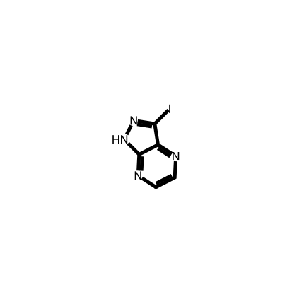 Ic1n[nH]c2nccnc12